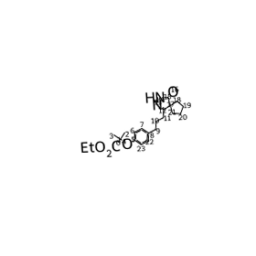 CCOC(=O)C(C)(C)Oc1ccc(CCCC2=NNC(=O)C23CCCC3)cc1